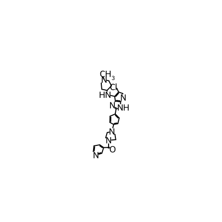 CN1CCC(Nc2c(Cl)cnc3[nH]c(-c4ccc(N5CCN(C(=O)c6cccnc6)CC5)cc4)nc23)CC1